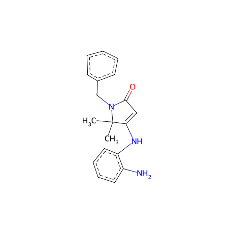 CC1(C)C(Nc2ccccc2N)=CC(=O)N1Cc1ccccc1